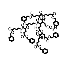 O=C(O)CCC(C(=O)OC(CCC(=O)OCc1ccccc1)C(=O)NCCCC(=O)OCc1ccccc1)C(CCC(=O)OC(CCC(=O)OCc1ccccc1)C(=O)NCCCC(=O)OCc1ccccc1)C(=O)NCCCC(=O)OC(CCC(=O)OCc1ccccc1)C(=O)NCCCC(=O)OCc1ccccc1